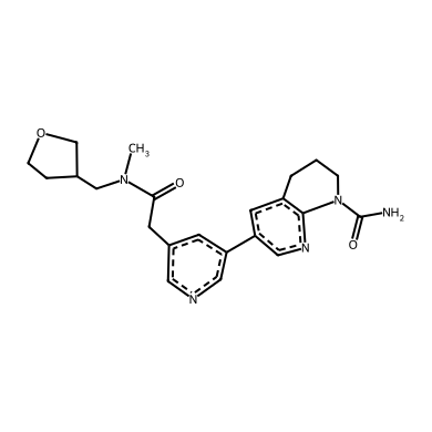 CN(CC1CCOC1)C(=O)Cc1cncc(-c2cnc3c(c2)CCCN3C(N)=O)c1